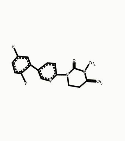 C=C1CCN(c2ccc(-c3cc(F)ccc3F)cn2)C(=O)N1C